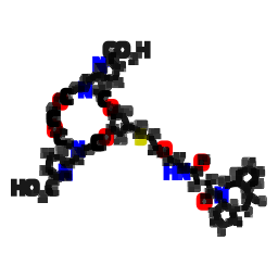 C=C1Cc2ccccc2N(C(=O)CCC(=O)NCCOCCSCC2CC3OCCN(Cc4cccc(C(=O)O)n4)CCOCCOCCN(Cc4cccc(C(=O)O)n4)CCOC3C2)Cc2ccccc21